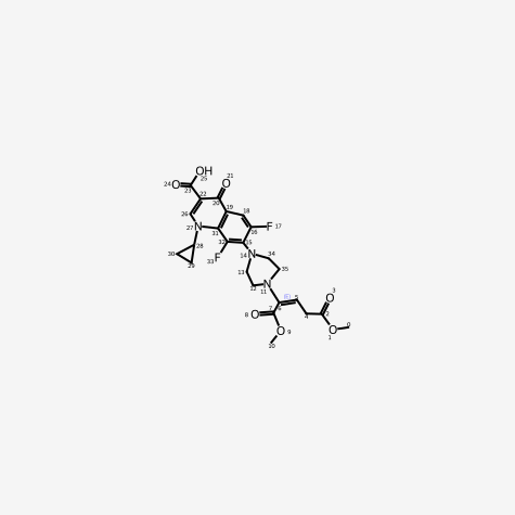 COC(=O)C/C=C(\C(=O)OC)N1CCN(c2c(F)cc3c(=O)c(C(=O)O)cn(C4CC4)c3c2F)CC1